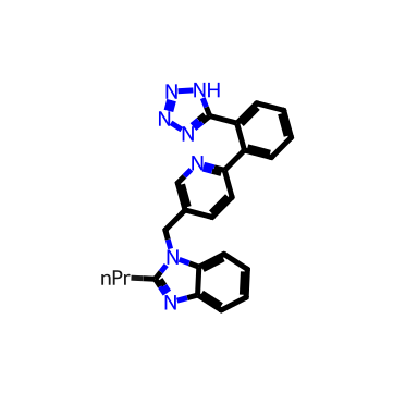 CCCc1nc2ccccc2n1Cc1ccc(-c2ccccc2-c2nnn[nH]2)nc1